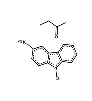 CCC(C)=O.CCn1c2ccccc2c2cc(C=O)ccc21